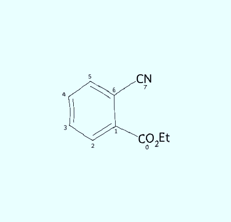 CCOC(=O)c1ccccc1C#N